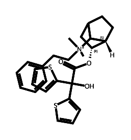 C[N+](C)(CCc1ccccc1)C1C2CC[C@@H]1[C@H](OC(=O)C(O)(c1cccs1)c1cccs1)C2